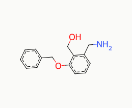 NCc1cccc(OCc2ccccc2)c1CO